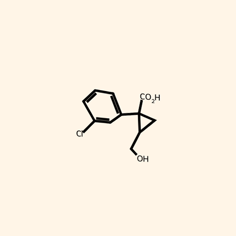 O=C(O)C1(c2cccc(Cl)c2)CC1CO